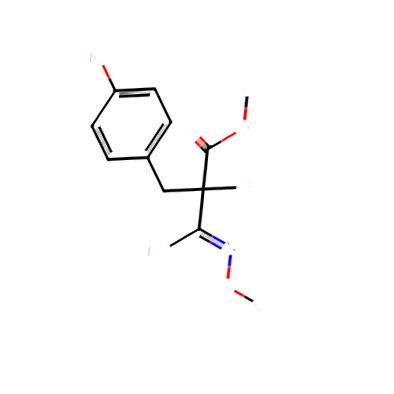 CO/N=C(\C)C(C)(Cc1ccc(O)cc1)C(=O)OC